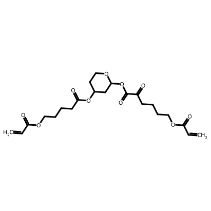 C=CC(=O)OCCCCC(=O)OC1CCOC(OC(=O)C(=O)CCCCOC(=O)C=C)C1